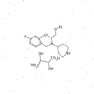 CCOCCN(Cc1ccc(F)cc1C(F)(F)F)C1CCNCC1.O=C(O)C(O)C(O)C(=O)O